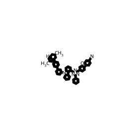 C[C@@H]1C[C@@H]2C[C@H](C)CC(c3ccc(-c4cccc(-n5c6ccccc6c6c(-c7nc(-c8ccccc8)nc(-c8ccc9c(c8)oc8cc(C#N)ccc89)n7)cccc65)c4)cc3)(C1)C2